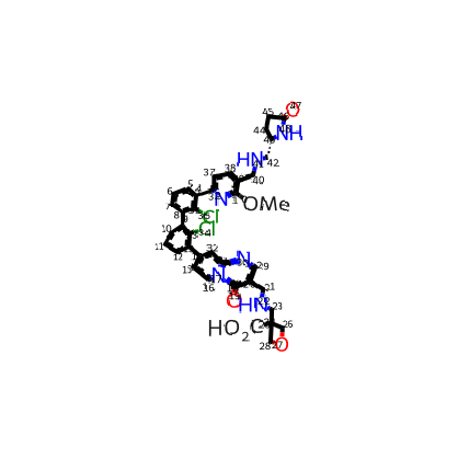 COc1nc(-c2cccc(-c3cccc(-c4ccn5c(=O)c(CNCC6(C(=O)O)COC6)cnc5c4)c3Cl)c2Cl)ccc1CNC[C@@H]1CCC(=O)N1